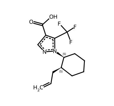 C=CC[C@@H]1CCCC[C@@H]1n1ncc(C(=O)O)c1C(F)(F)F